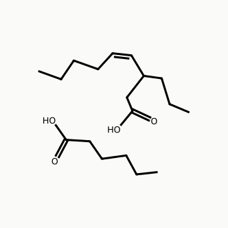 CCCC/C=C\C(CCC)CC(=O)O.CCCCCC(=O)O